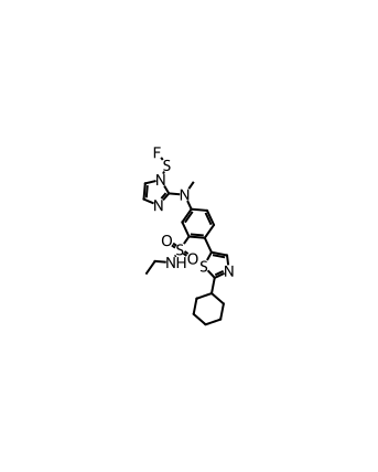 CCNS(=O)(=O)c1cc(N(C)c2nccn2SF)ccc1-c1cnc(C2CCCCC2)s1